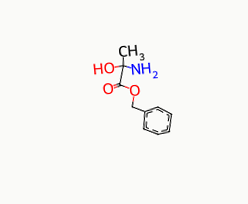 CC(N)(O)C(=O)OCc1ccccc1